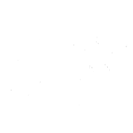 CC(C)Cn1nc(Br)nc1-c1cccc(-c2ccccc2)c1